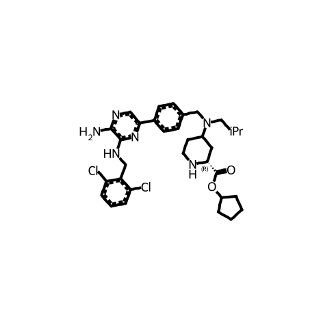 CC(C)CN(Cc1ccc(-c2cnc(N)c(NCc3c(Cl)cccc3Cl)n2)cc1)C1CCN[C@@H](C(=O)OC2CCCC2)C1